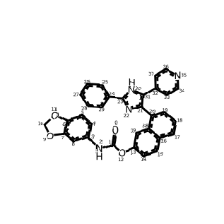 O=C(Nc1ccc2c(c1)OCO2)Oc1ccc2cccc(-c3nc(-c4ccccc4)[nH]c3-c3ccncc3)c2c1